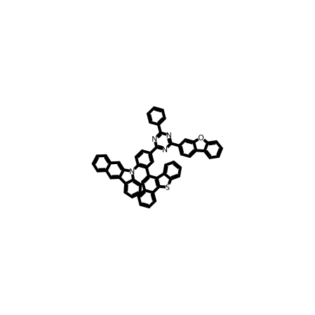 c1ccc(-c2nc(-c3ccc(-n4c5ccccc5c5cc6ccccc6cc54)c(-c4cc5ccccc5c5sc6ccccc6c45)c3)nc(-c3ccc4c(c3)oc3ccccc34)n2)cc1